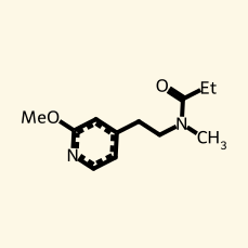 CCC(=O)N(C)CCc1ccnc(OC)c1